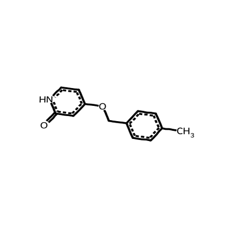 Cc1ccc(COc2cc[nH]c(=O)c2)cc1